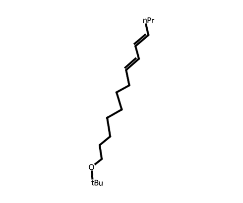 CCCC=CC=CCCCCCCCOC(C)(C)C